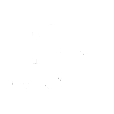 CCOC(=O)c1nn(C)c(-c2c[n+](O)ccc2OC(F)F)c1Cl